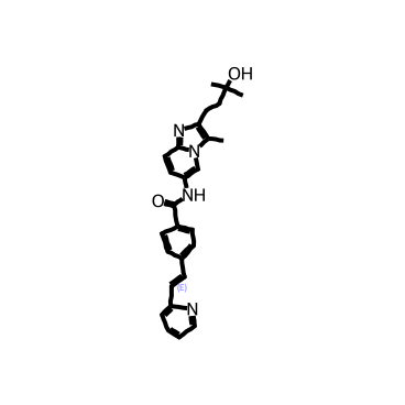 Cc1c(CCC(C)(C)O)nc2ccc(NC(=O)c3ccc(/C=C/c4ccccn4)cc3)cn12